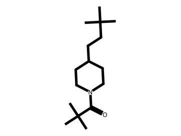 CC(C)(C)CCC1CCN(C(=O)C(C)(C)C)CC1